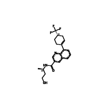 C[C@H](CCO)NC(=O)c1cnc2c(C3=CC[C@@H](C(F)(F)F)CC3)cccc2c1